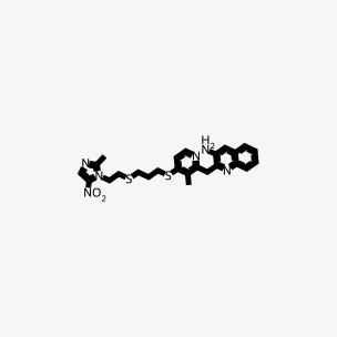 Cc1c(SCCCSCCn2c([N+](=O)[O-])cnc2C)ccnc1Cc1nc2ccccc2cc1N